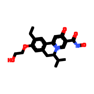 CCc1cc2c(cc1OCCO)CC(C(C)C)n1cc(C(=O)N=O)c(=O)cc1-2